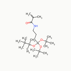 C=C(C)C(=O)NCCC[Si](O[Si](C)(C)C)(O[Si](C)(C)C)O[Si](C)(C)[Si](C)(C)C